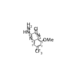 COc1cc(C(F)(F)F)cc2nc(NN)c(Cl)nc12